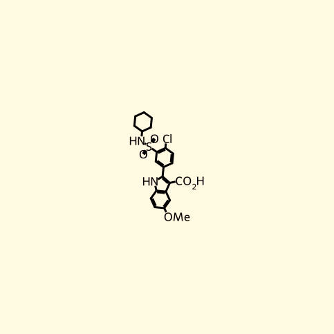 COc1ccc2[nH]c(-c3ccc(Cl)c(S(=O)(=O)NC4CCCCC4)c3)c(C(=O)O)c2c1